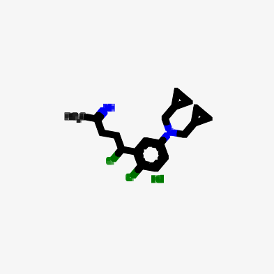 CCOC(=O)C(=N)CCC(Cl)c1cc(N(CC2CC2)CC2CC2)ccc1Cl.Cl